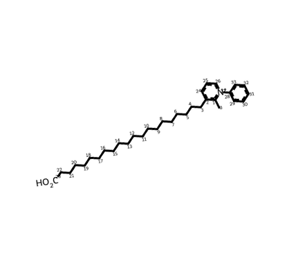 Cc1c(CCCCCCCCCCCCCCCCCCCCC(=O)O)ccc[n+]1-c1ccccc1